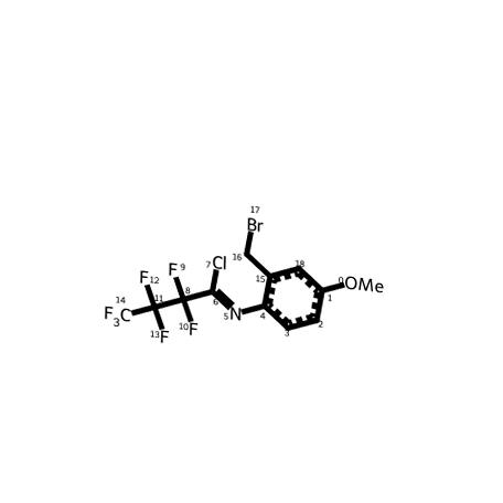 COc1ccc(N=C(Cl)C(F)(F)C(F)(F)C(F)(F)F)c(CBr)c1